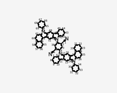 N#Cc1cc(-n2c3ccccc3c3cc4c(cc32)c2c3ccccc3ccc2n4-c2ccccc2)c(C#N)cc1-n1c2ccccc2c2cc3c(cc21)c1c2ccccc2ccc1n3-c1ccccc1